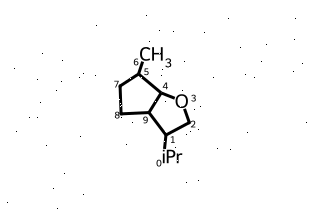 CC(C)C1COC2C(C)CCC12